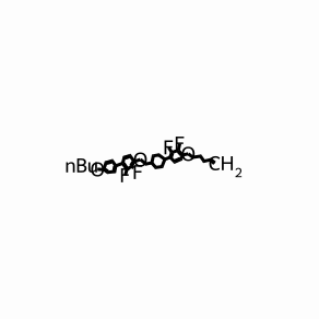 C=CCCCOc1ccc(C2CCC(COc3ccc(-c4ccc(OCCCC)cc4)c(F)c3F)CC2)c(F)c1F